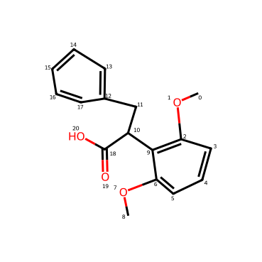 COc1cccc(OC)c1C(Cc1ccccc1)C(=O)O